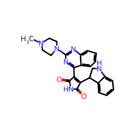 CN1CCN(c2nc(C3=C(C4CNc5ccccc54)C(=O)NC3=O)c3ccccc3n2)CC1